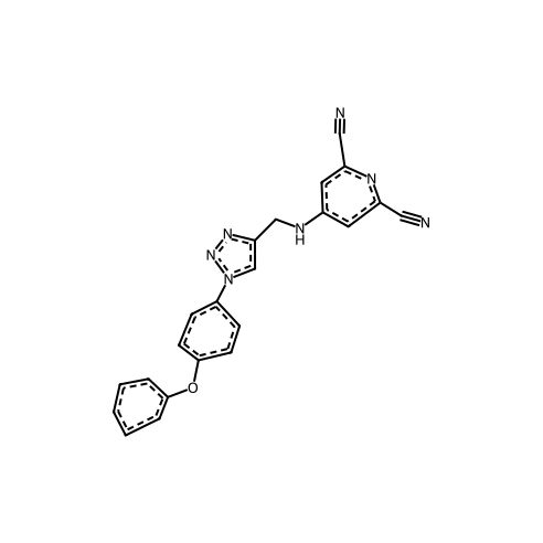 N#Cc1cc(NCc2cn(-c3ccc(Oc4ccccc4)cc3)nn2)cc(C#N)n1